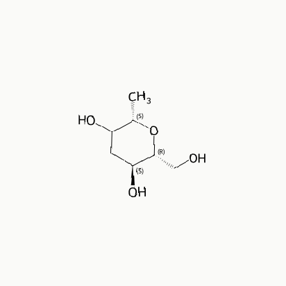 C[C@@H]1O[C@H](CO)[C@@H](O)CC1O